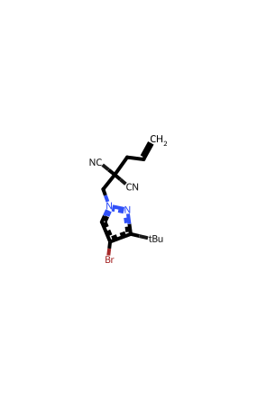 C=CCC(C#N)(C#N)Cn1cc(Br)c(C(C)(C)C)n1